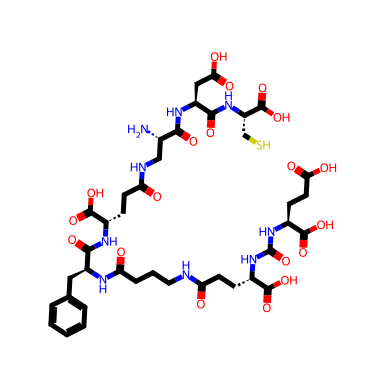 N[C@@H](CNC(=O)CC[C@H](NC(=O)[C@H](Cc1ccccc1)NC(=O)CCCNC(=O)CC[C@H](NC(=O)N[C@@H](CCC(=O)O)C(=O)O)C(=O)O)C(=O)O)C(=O)N[C@@H](CC(=O)O)C(=O)N[C@@H](CS)C(=O)O